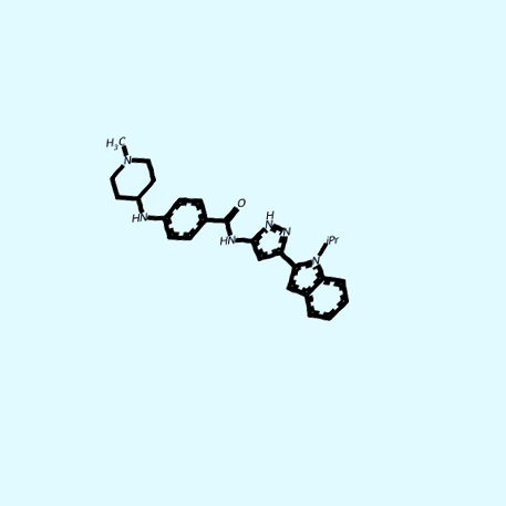 CC(C)n1c(-c2cc(NC(=O)c3ccc(NC4CCN(C)CC4)cc3)[nH]n2)cc2ccccc21